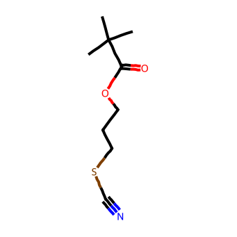 CC(C)(C)C(=O)OCCCSC#N